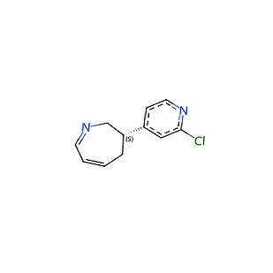 Clc1cc([C@@H]2CC=CC=NC2)ccn1